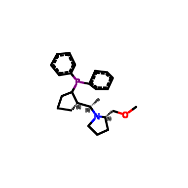 COC[C@@H]1CCCN1[C@@H](C)[C@@H]1CCCC1P(c1ccccc1)c1ccccc1